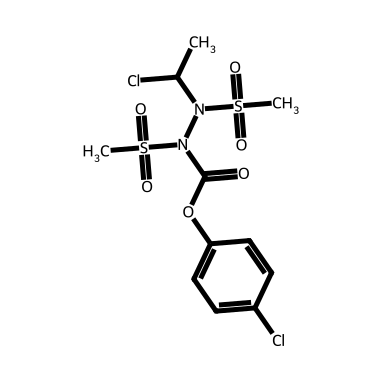 CC(Cl)N(N(C(=O)Oc1ccc(Cl)cc1)S(C)(=O)=O)S(C)(=O)=O